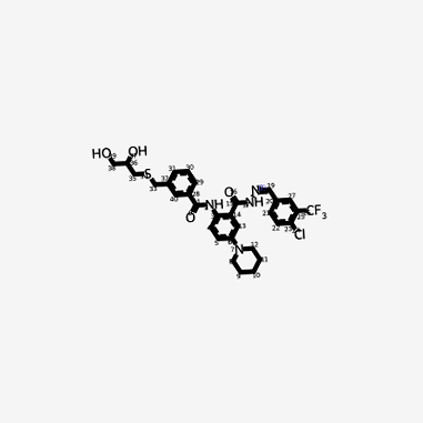 O=C(Nc1ccc(N2CCCCC2)cc1C(=O)N/N=C\c1ccc(Cl)c(C(F)(F)F)c1)c1cccc(CSCC(O)CO)c1